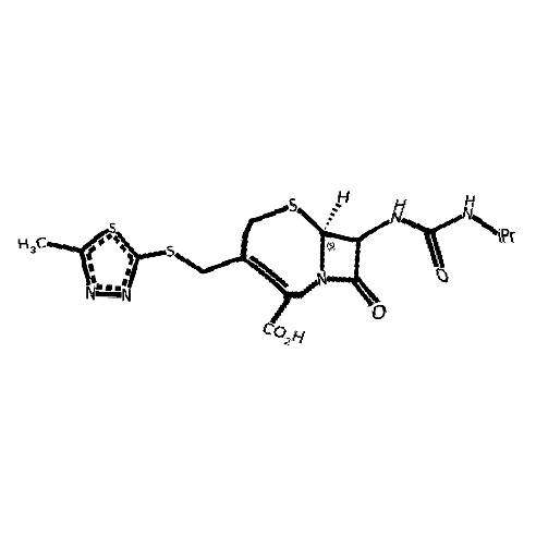 Cc1nnc(SCC2=C(C(=O)O)N3C(=O)C(NC(=O)NC(C)C)[C@@H]3SC2)s1